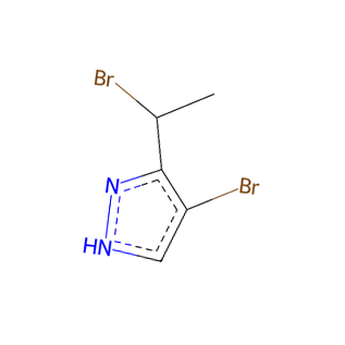 CC(Br)c1n[nH]cc1Br